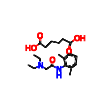 CCN(CC)CC(=O)Nc1c(C)cccc1C.O=C(O)CCCCC(=O)O